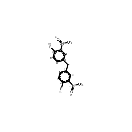 O=[N+]([O-])c1cc(Cc2ccc(F)c([N+](=O)[O-])c2)ccc1F